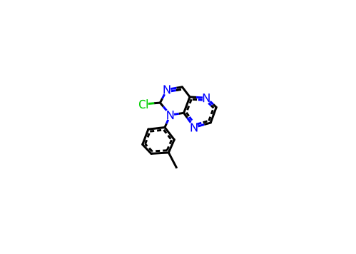 Cc1cccc(N2c3nccnc3C=NC2Cl)c1